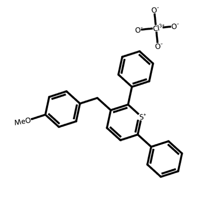 COc1ccc(Cc2ccc(-c3ccccc3)[s+]c2-c2ccccc2)cc1.[O-][Cl+3]([O-])([O-])[O-]